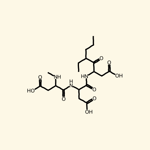 CCCC(CC)C(=O)C(CC(=O)O)NC(=O)C(CC(=O)O)NC(=O)C(CC(=O)O)NC